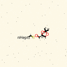 CCCCCCCCSOC[C@@H]1COC(C)(C)O1